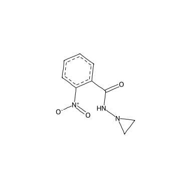 O=C(NN1CC1)c1ccccc1[N+](=O)[O-]